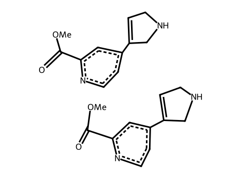 COC(=O)c1cc(C2=CCNC2)ccn1.COC(=O)c1cc(C2=CCNC2)ccn1